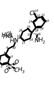 CS(=O)(=O)c1cccc(CCN[C@H]2CC[C@](CN)(c3cccc(Cl)c3)CC2)c1.Cl.Cl